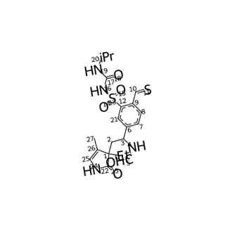 CCC1(CC(NC=O)c2ccc(C=S)c(S(=O)(=O)NC(=O)NC(C)C)c2)C(=O)NC=C1C